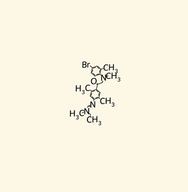 CCN(C)C=Nc1cc(C)c(C(=O)CN(C)c2ccc(Br)cc2C)cc1C